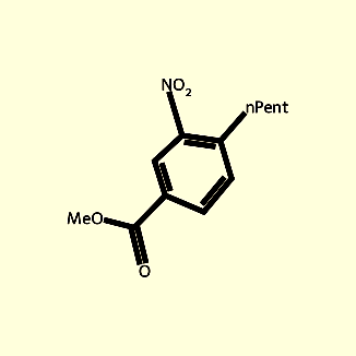 CCCCCc1ccc(C(=O)OC)cc1[N+](=O)[O-]